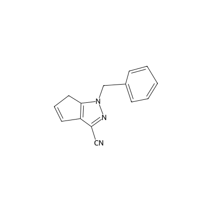 N#Cc1nn(Cc2ccccc2)c2c1C=CC2